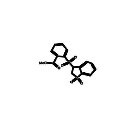 COC(=O)c1ccccc1S(=O)(=O)C1CS(=O)(=O)c2ccccc21